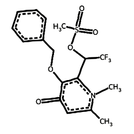 Cc1cc(=O)c(OCc2ccccc2)c(C(OS(C)(=O)=O)C(F)(F)F)n1C